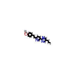 CCCc1cnc(-c2ccc(CCc3ccc(OC)cc3)nc2)nc1